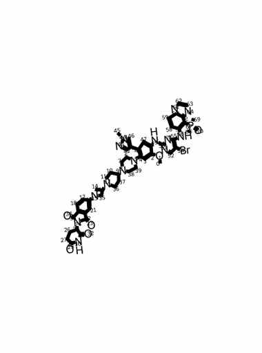 COc1cc(N2CCN(C3CCN(C4CN(c5ccc6c(c5)C(=O)N(C5CCC(=O)NC5=O)C6=O)C4)CC3)CC2)c(-c2cnn(C)c2)cc1Nc1ncc(Br)c(Nc2ccc3nccnc3c2P(C)(C)=O)n1